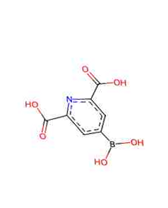 O=C(O)c1cc(B(O)O)cc(C(=O)O)n1